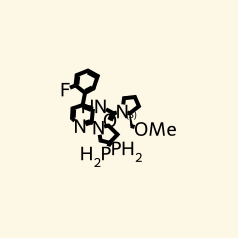 COC[C@@H]1CCCN1C(=O)Nc1c(-c2ccccc2F)ccnc1N1CCC(P)(P)C1